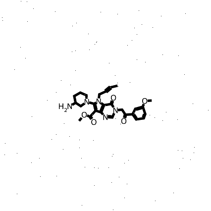 CC#CCn1c(N2CCCC(N)C2)c(C(=O)OC)c2ncn(CC(=O)c3cccc(OC)c3)c(=O)c21